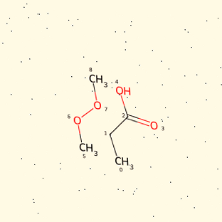 CCC(=O)O.COOC